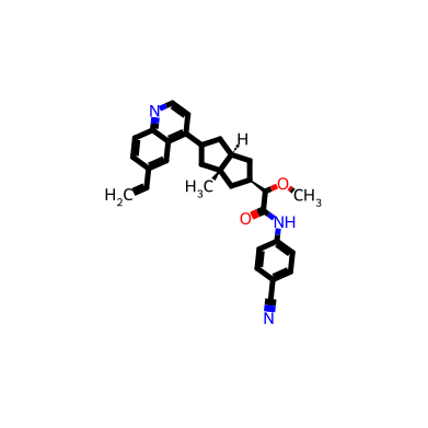 C=Cc1ccc2nccc(C3C[C@H]4C[C@@H](C(OC)C(=O)Nc5ccc(C#N)cc5)C[C@]4(C)C3)c2c1